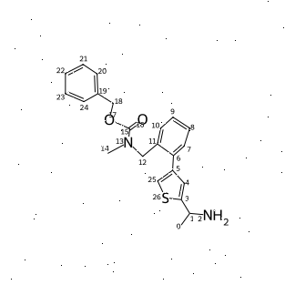 CC(N)c1cc(-c2ccccc2CN(C)C(=O)OCc2ccccc2)cs1